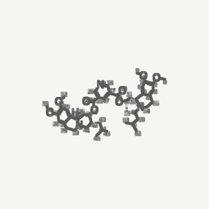 COc1cc2c(cc1OC)[C@@H](C[C@H](C)OC(=O)c1cncc(C(=O)O[C@@H]3C[C@@H]4c5cc(OC)c(OC)cc5CCN4C[C@H]3CC(C)C)c1)N(CCC(C)C)CC2